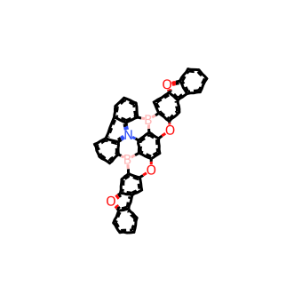 c1ccc2c(c1)oc1cc3c(cc12)Oc1cc2c4c5c1B3c1cccc3c6cccc(c6n-5c13)B4c1cc3oc4ccccc4c3cc1O2